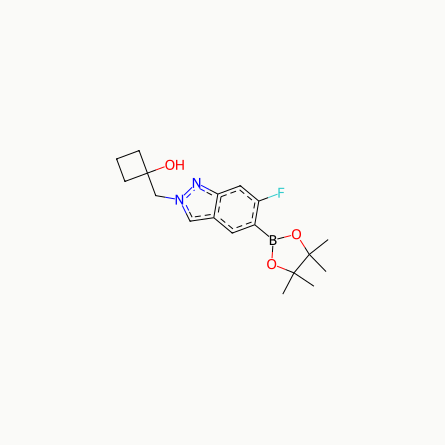 CC1(C)OB(c2cc3cn(CC4(O)CCC4)nc3cc2F)OC1(C)C